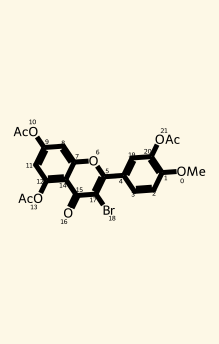 COc1ccc(-c2oc3cc(OC(C)=O)cc(OC(C)=O)c3c(=O)c2Br)cc1OC(C)=O